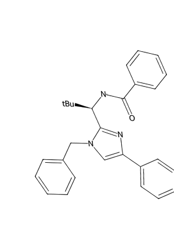 CC(C)(C)[C@@H]([N]C(=O)c1ccccc1)c1nc(-c2ccccc2)cn1Cc1ccccc1